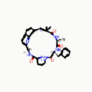 CC(C)[C@@H]1NC(=O)C(C)(C)/C=C/c2ccc3ccc(nc3c2)[C@@H](C)NC(=O)C2CCCN(N2)C(=O)[C@H](Cc2ccccc2)NC1=O